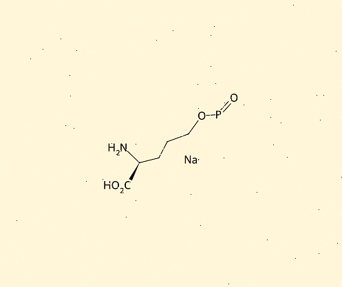 N[C@@H](CCCOP=O)C(=O)O.[Na]